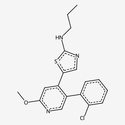 CCCNc1ncc(-c2cc(OC)ncc2-c2ccccc2Cl)s1